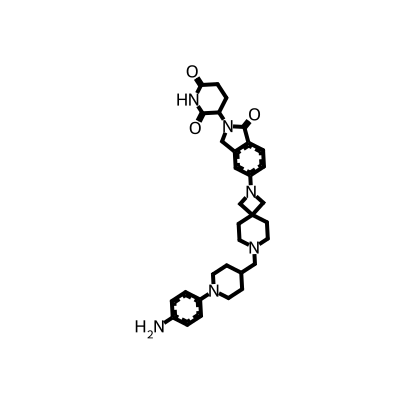 Nc1ccc(N2CCC(CN3CCC4(CC3)CN(c3ccc5c(c3)CN(C3CCC(=O)NC3=O)C5=O)C4)CC2)cc1